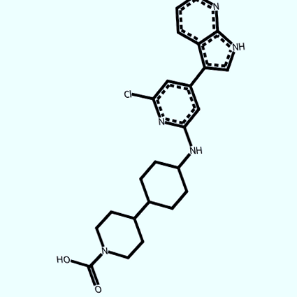 O=C(O)N1CCC(C2CCC(Nc3cc(-c4c[nH]c5ncccc45)cc(Cl)n3)CC2)CC1